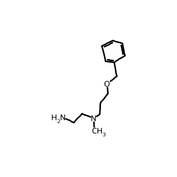 CN(CCN)CCCOCc1ccccc1